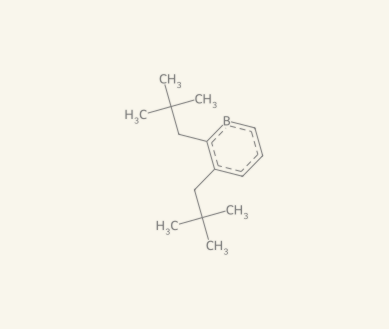 CC(C)(C)Cc1bcccc1CC(C)(C)C